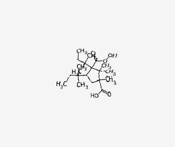 CCC(C)(C)C1CC(C)(C(=O)O)C(C)(C)C1(C(=O)OO)C(C)(C)CC